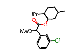 COC(C(=O)OC1CC(C)CCC1C(C)C)c1cccc(Cl)c1